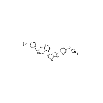 CCN1CC(Oc2ccc(-c3cc4c(-c5cccc(N6Cc7ccc(C8CC8)cc7C=N6)c5CO)ncnc4[nH]3)nc2)C1